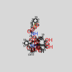 CC(=O)O[C@@]12CO[C@@H]1C[C@H](O)[C@@]1(C)C(=O)[C@H](O)C3=C(C)C[C@@H](OC(=O)[C@H](OC(=O)CNC(=O)OCC4=Cc5ccccc5S4(=O)=O)[C@@H](NC(=O)OC(C)(C)C)c4ccccc4)[C@@](O)([C@@H](OC(=O)c4ccccc4)[C@H]21)C3(C)C